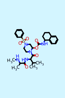 CNC(C)C(=O)NC(C(=O)N1CCN(S(=O)(=O)c2ccccc2)CC1OC(=O)NC1CCCc2ccccc21)C(C)C